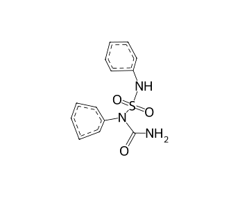 NC(=O)N(c1ccccc1)S(=O)(=O)Nc1ccccc1